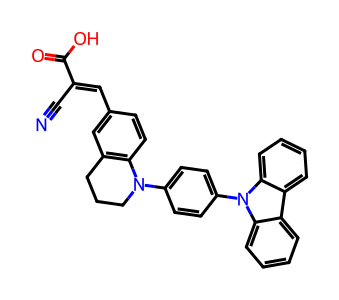 N#C/C(=C\c1ccc2c(c1)CCCN2c1ccc(-n2c3ccccc3c3ccccc32)cc1)C(=O)O